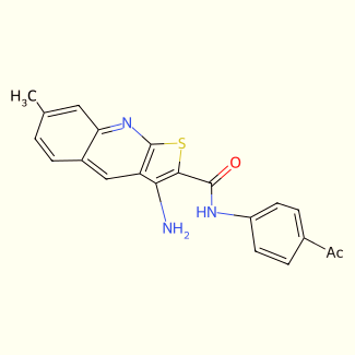 CC(=O)c1ccc(NC(=O)c2sc3nc4cc(C)ccc4cc3c2N)cc1